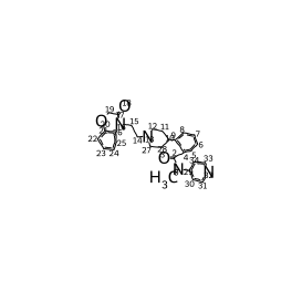 CN(C(=O)c1ccccc1C1CCN(CCN2C(=O)COc3ccccc32)CC1)c1ccncc1